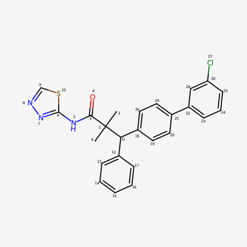 CC(C)(C(=O)Nc1nncs1)C(c1ccccc1)c1ccc(-c2cccc(Cl)c2)cc1